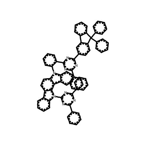 c1ccc(-c2nc(-c3ccc4c(c3)-c3ccccc3C4(c3ccccc3)c3ccccc3)nc(-c3ccccc3-n3c4ccccc4c4c3ccc3c5ccccc5n(-c5nc(-c6ccccc6)nc(-c6ccccc6)n5)c34)n2)cc1